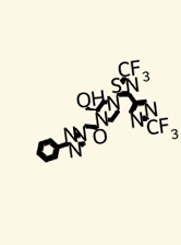 O=C(Cn1cnc(-c2ccccc2)n1)N1CCN(c2sc(C(F)(F)F)nc2-c2cnc(C(F)(F)F)nc2)C[C@@H]1CO